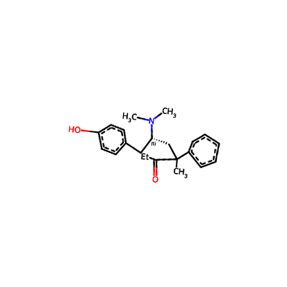 CCC(=O)C(C)(C[C@H](Cc1ccc(O)cc1)N(C)C)c1ccccc1